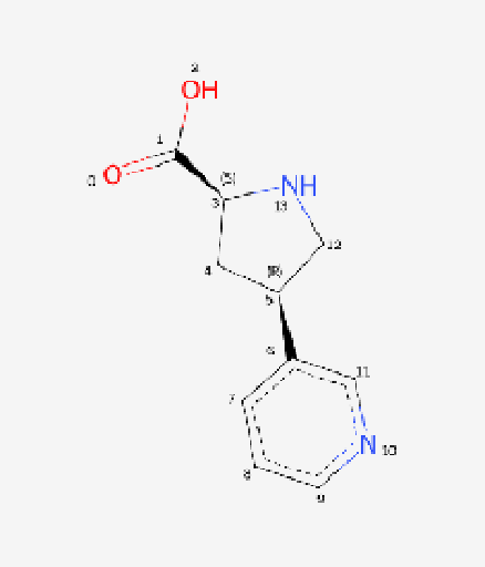 O=C(O)[C@@H]1C[C@H](c2cccnc2)CN1